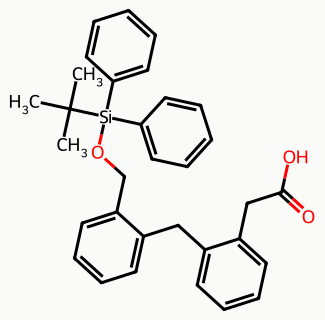 CC(C)(C)[Si](OCc1ccccc1Cc1ccccc1CC(=O)O)(c1ccccc1)c1ccccc1